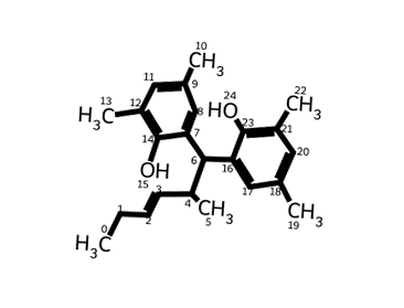 CC/C=C/C(C)C(c1cc(C)cc(C)c1O)c1cc(C)cc(C)c1O